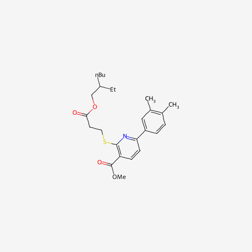 CCCCC(CC)COC(=O)CCSc1nc(-c2ccc(C)c(C)c2)ccc1C(=O)OC